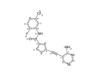 Nc1ncncc1C#Cc1csc(C(=O)Nc2cc(C(F)(F)F)ccc2F)c1